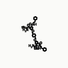 CC(C)(C)[C@H](N)C(=O)N1C[C@@H](OCc2ccc(CO[C@H]3C[C@@H](C(=O)NCCc4ccccc4)N(C(=O)[C@@H](N)C(C)(C)C)C3)cc2)C[C@H]1C(=O)NCCc1ccccc1